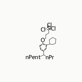 CCCCCC(CCC)c1ccc(OCCC[Si](Cl)(Cl)Cl)c(C2CCCCC2)c1